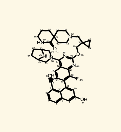 C#Cc1cccc2cc(O)cc(-c3c(F)cc4c(N5CC6CCC(C5)N6)nc(OCC5(CN6CCC7(CCCNC7=O)CC6)CC5)nc4c3F)c12